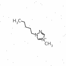 CCCCCn1c[n+](C)cn1